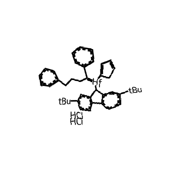 CC(C)(C)c1ccc2c(c1)[CH](/[Hf]([C]1=CC=CC1)=[C](\CCCc1ccccc1)c1ccccc1)c1cc(C(C)(C)C)ccc1-2.Cl.Cl